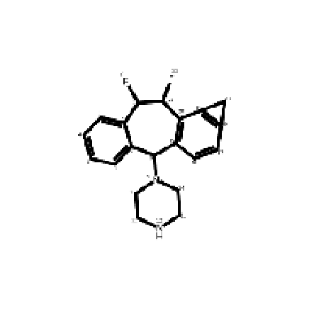 FC1c2ccccc2C(N2CCNCC2)c2ccc3c(c2C1F)C3